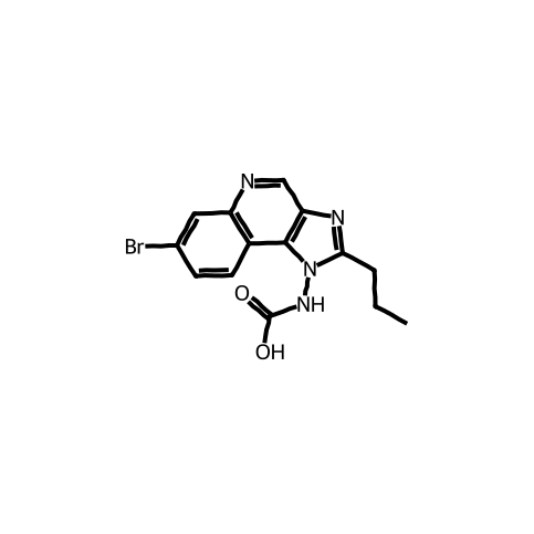 CCCc1nc2cnc3cc(Br)ccc3c2n1NC(=O)O